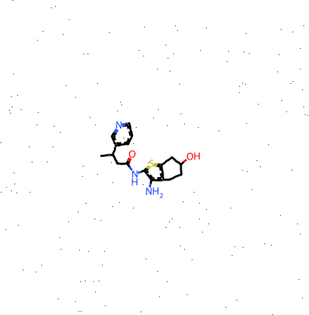 CC(CC(=O)Nc1sc2c(c1N)CCC(O)C2)c1cccnc1